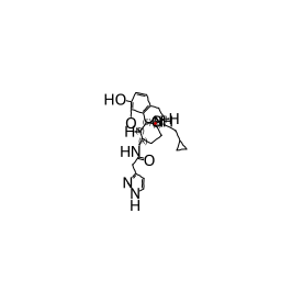 O=C(Cc1cc[nH]n1)N[C@@H]1CC[C@@]2(O)[C@H]3Cc4ccc(O)c5c4[C@@]2(CCN3CC2CC2)[C@H]1O5